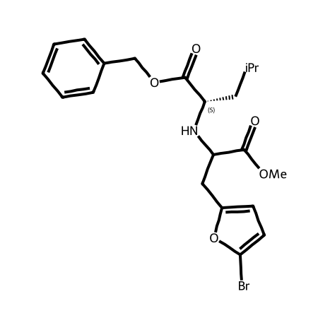 COC(=O)C(Cc1ccc(Br)o1)N[C@@H](CC(C)C)C(=O)OCc1ccccc1